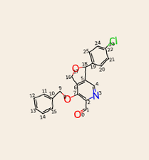 O=Cc1ncc2c(c1OCc1ccccc1)COC2c1ccc(Cl)cc1